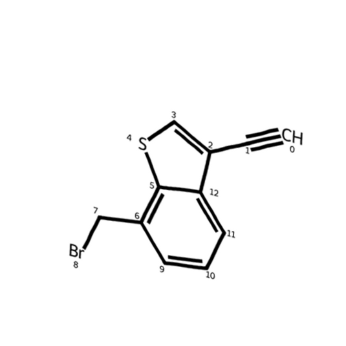 C#Cc1csc2c(CBr)cccc12